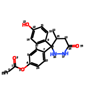 CCCC(=O)Oc1ccc(C2(c3ccc(O)cc3)NNC(=O)CC2C)cc1